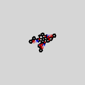 C=C/C=C\C1=C(c2ccc(-c3cccc4c3oc3ccccc34)nc2)c2c3c(c4c(c2CCC1(C)C)-c1c(-c2ccc(-c5cccc6c5oc5ccccc56)nc2)cccc1C(C)(C)CC4)-c1c(-c2ccc(-c4cccc5c4oc4ccccc45)nc2)cccc1C(C)(C)CC3